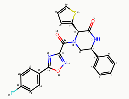 O=C1N[C@@H](c2ccccc2)CN(C(=O)c2noc(-c3ccc(F)cc3)n2)[C@H]1c1cccs1